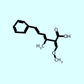 CO\C=C(C(=O)O)/C(C)=C/C=C/c1ccccc1